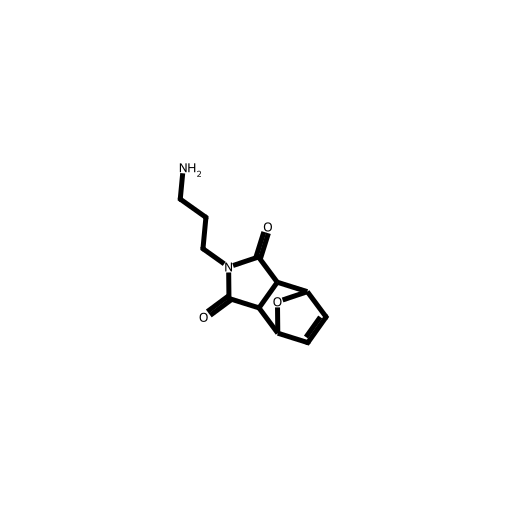 NCCCN1C(=O)C2C3C=CC(O3)C2C1=O